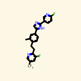 Cc1cc(-c2cnc(-c3ccc(F)nc3)[nH]2)ccc1CCc1ncc(C(F)(F)F)cc1F